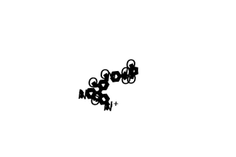 CN(C)c1ccc2c(-c3ccc(C(=O)N4CCC(C(=O)ON5C(=O)CCC5=O)CC4)cc3C=O)c3ccc(=[N+](C)C)cc-3oc2c1